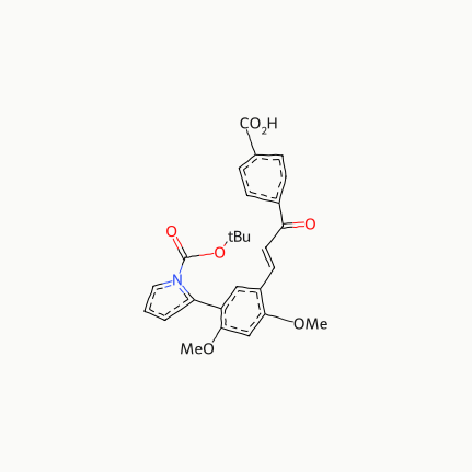 COc1cc(OC)c(-c2cccn2C(=O)OC(C)(C)C)cc1C=CC(=O)c1ccc(C(=O)O)cc1